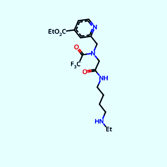 CCNCCCCNC(=O)CN(Cc1cc(C(=O)OCC)ccn1)C(=O)C(F)(F)F